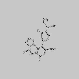 COc1cc(C)c2[nH]c(=O)c3sccc3c2c1-c1ccc(C(CN)C(C)C)c(F)c1